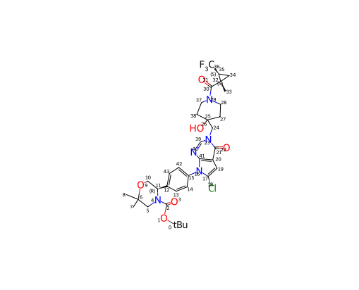 CC(C)(C)OC(=O)N1CC(C)(C)OC[C@H]1c1ccc(-n2c(Cl)cc3c(=O)n(CC4(O)CCN(C(=O)[C@@]5(C)C[C@@H]5C(F)(F)F)CC4)cnc32)cc1